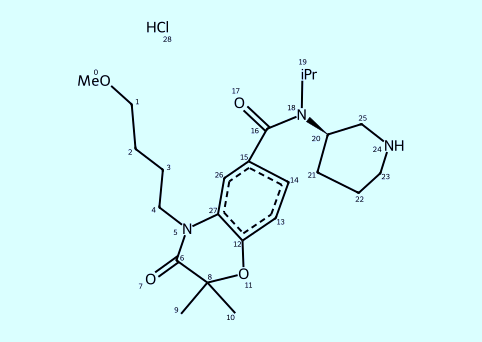 COCCCCN1C(=O)C(C)(C)Oc2ccc(C(=O)N(C(C)C)[C@@H]3CCCNC3)cc21.Cl